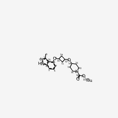 Cc1n[nH]c2cccc(OC3CC(OC4CCN(C(=O)OC(C)(C)C)CC4)C3)c12